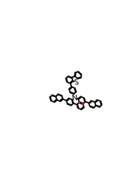 c1ccc(-c2ccc(-c3ccc4ccccc4c3)cc2N(c2ccc(-c3ccc4ccccc4c3)cc2)c2ccc(-c3cccc4c3sc3ccccc34)cc2)cc1